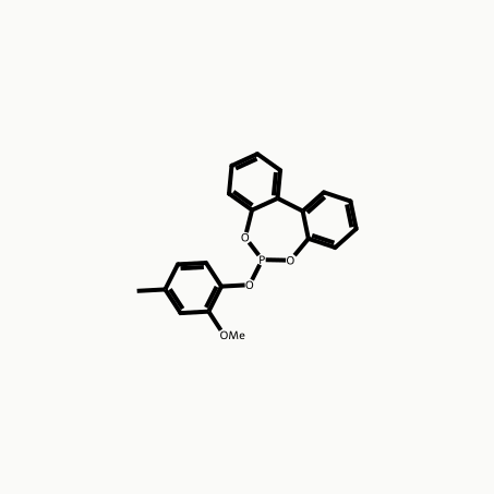 COc1cc(C)ccc1Op1oc2ccccc2c2ccccc2o1